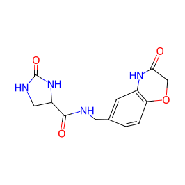 O=C1COc2ccc(CNC(=O)C3CNC(=O)N3)cc2N1